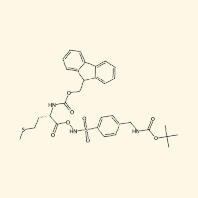 CSCC[C@H](NC(=O)OCC1c2ccccc2-c2ccccc21)C(=O)ONS(=O)(=O)c1ccc(CNC(=O)OC(C)(C)C)cc1